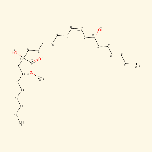 CCCCCCCCC(O)(CCCCCC/C=C\C[C@H](O)CCCCCC)C(=O)OC